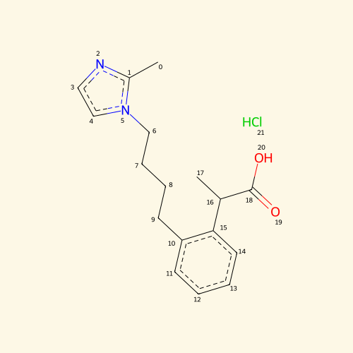 Cc1nccn1CCCCc1ccccc1C(C)C(=O)O.Cl